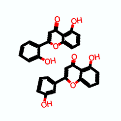 O=c1cc(-c2cccc(O)c2)oc2cccc(O)c12.O=c1cc(-c2ccccc2O)oc2cccc(O)c12